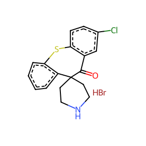 Br.O=C1c2cc(Cl)ccc2Sc2ccccc2C12CCNCC2